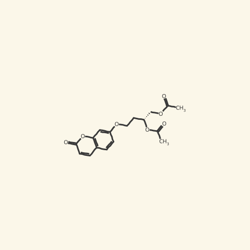 CC(=O)OC[C@@H](CCOc1ccc2ccc(=O)oc2c1)OC(C)=O